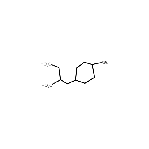 CC(C)(C)C1CCC(CC(CC(=O)O)C(=O)O)CC1